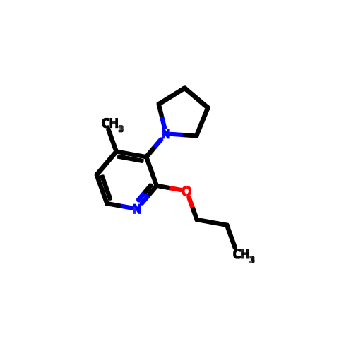 CCCOc1nccc(C)c1N1CCCC1